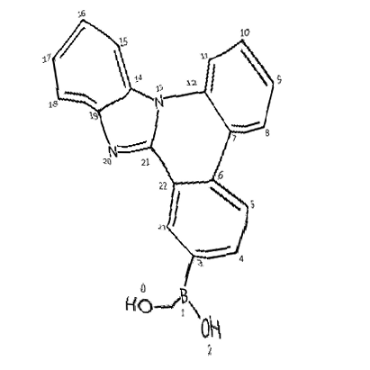 OB(O)c1ccc2c3ccccc3n3c4ccccc4nc3c2c1